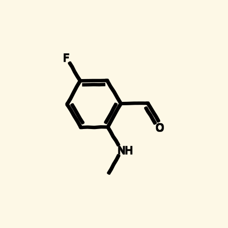 CNc1ccc(F)cc1C=O